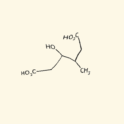 CC(CC(=O)O)C(O)CC(=O)O